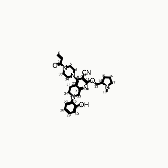 C=CC(=O)N1CCN(c2c(C#N)c(OCC3CCCN3C)nc3c2CCN(c2ccccc2O)C3)CC1